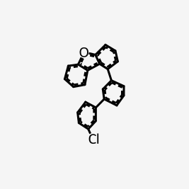 Clc1cccc(-c2cccc(-c3cccc4oc5ccccc5c34)c2)c1